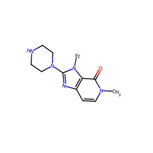 CCn1c(N2CCNCC2)nc2ccn(C)c(=O)c21